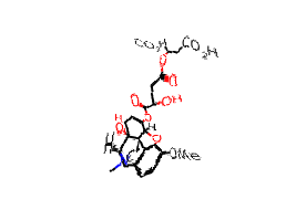 COc1ccc2c3c1O[C@H]1C(OC(=O)C(O)CC(=O)OC(CC(=O)O)C(=O)O)=CC[C@@]4(O)[C@@H](C2)N(C)CC[C@]314